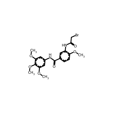 COc1ccc(C(=O)Nc2cc(OC)c(OC)c(OC)c2)cc1NC(=O)CBr